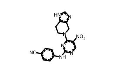 N#Cc1ccc(Nc2ncc([N+](=O)[O-])c(N3CCc4[nH]cnc4C3)n2)cc1